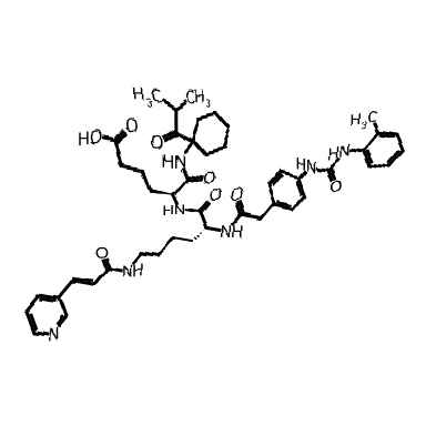 Cc1ccccc1NC(=O)Nc1ccc(CC(=O)N[C@H](CCCCNC(=O)/C=C/c2cccnc2)C(=O)N[C@@H](CCCC(=O)O)C(=O)NC2(C(=O)C(C)C)CCCCC2)cc1